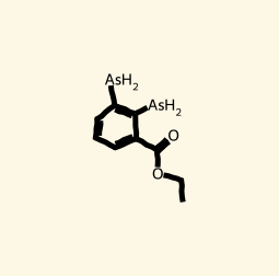 CCOC(=O)c1cccc([AsH2])c1[AsH2]